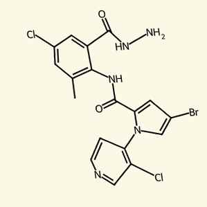 Cc1cc(Cl)cc(C(=O)NN)c1NC(=O)c1cc(Br)cn1-c1ccncc1Cl